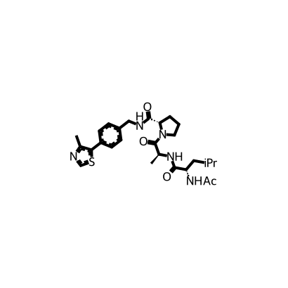 CC(=O)N[C@@H](CC(C)C)C(=O)N[C@@H](C)C(=O)N1CCC[C@H]1C(=O)NCc1ccc(-c2scnc2C)cc1